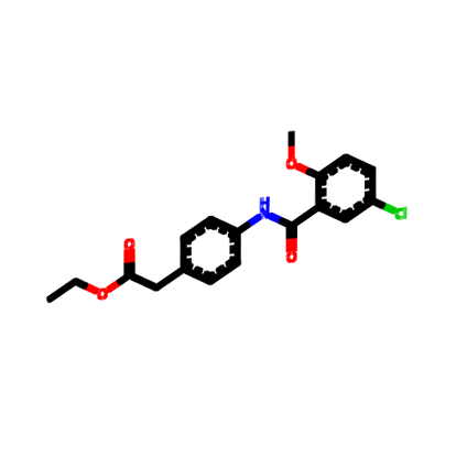 CCOC(=O)Cc1ccc(NC(=O)c2cc(Cl)ccc2OC)cc1